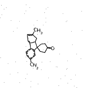 CC1=CC=C2c3ccc(C)cc3C3(CCC(=O)CC3)C2C1